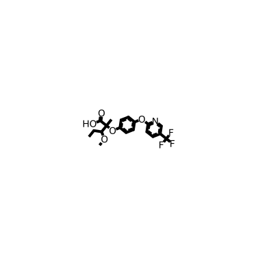 CCC(OC)C(C)(Oc1ccc(Oc2ccc(C(F)(F)F)cn2)cc1)C(=O)O